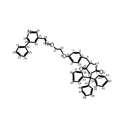 O=C1SC(Cc2ccc(OCCON=Cc3cncc(-c4ccccc4)c3)cc2)C(=O)N1C(c1ccccc1)(c1ccccc1)c1ccccc1